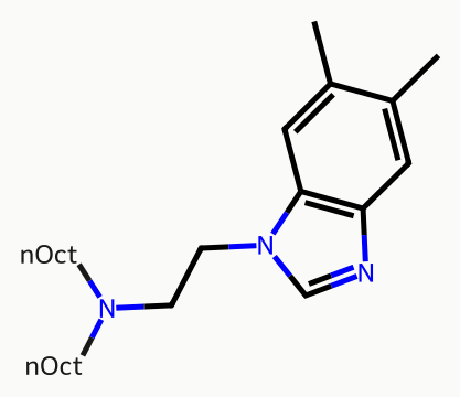 CCCCCCCCN(CCCCCCCC)CCn1cnc2cc(C)c(C)cc21